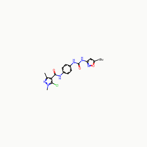 Cc1nn(C)c(Cl)c1C(=O)Nc1ccc(NC(=O)Nc2cc(C(C)(C)C)on2)cc1